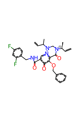 C=CC(C)N1CN([C@@H](C)C=C)C(=O)c2c(OCc3ccccc3)c(=O)c(C(=O)NCc3ccc(F)cc3F)cn21